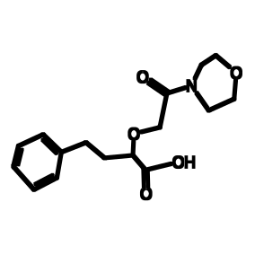 O=C(O)C(CCc1ccccc1)OCC(=O)N1CCOCC1